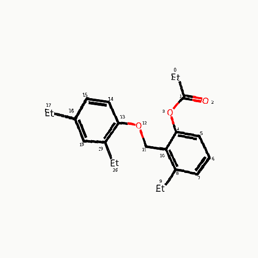 CCC(=O)Oc1cccc(CC)c1COc1ccc(CC)cc1CC